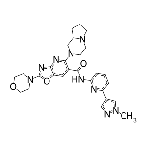 Cn1cc(-c2cccc(NC(=O)c3cc4oc(N5CCOCC5)nc4nc3N3CCN4CCCC4C3)n2)cn1